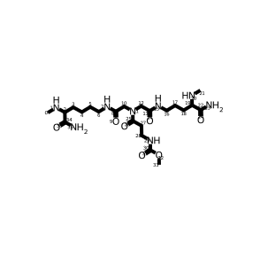 CNC(CCCCNC(=O)CN(CC(=O)NCCCC(NC)C(N)=O)C(=O)CCNC(=O)OC)C(N)=O